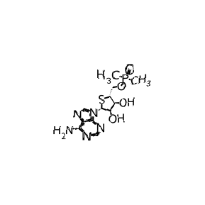 CP(C)(=O)OC[C@H]1S[C@@H](n2cnc3c(N)ncnc32)[C@H](O)[C@@H]1O